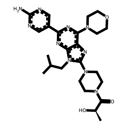 CC(C)Cn1c(N2CCN(C(=O)[C@@H](C)O)CC2)nc2c(N3CCOCC3)nc(-c3cnc(N)nc3)nc21